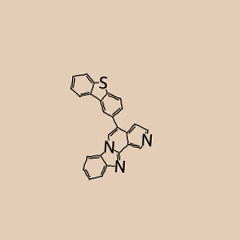 c1ccc2c(c1)nc1c3cnccc3c(-c3ccc4sc5ccccc5c4c3)cn21